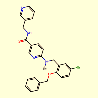 CCN(Cc1cc(Br)ccc1OCc1ccccc1)c1ccc(C(=O)NCc2cccnc2)cn1